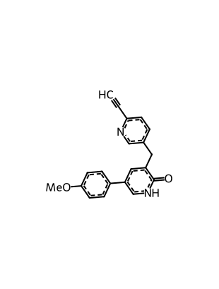 C#Cc1ccc(Cc2cc(-c3ccc(OC)cc3)c[nH]c2=O)cn1